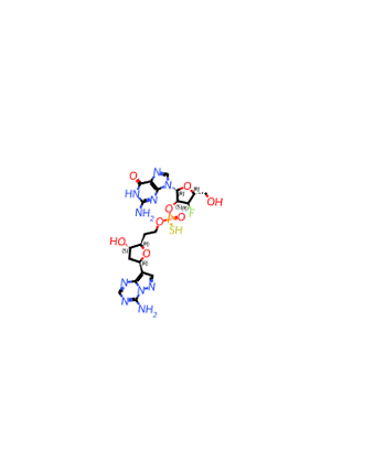 Nc1nc2c(ncn2[C@@H]2O[C@H](CO)[C@@H](F)[C@H]2OP(=O)(S)OCC[C@H]2O[C@@H](c3cnn4c(N)ncnc34)C[C@@H]2O)c(=O)[nH]1